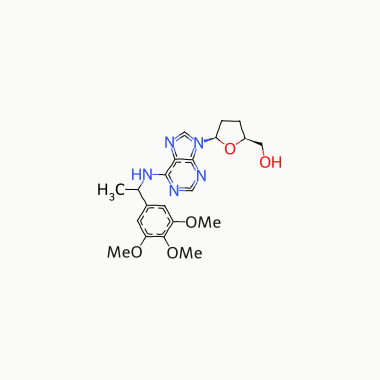 COc1cc(C(C)Nc2ncnc3c2ncn3[C@H]2CC[C@@H](CO)O2)cc(OC)c1OC